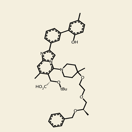 Cc1ccc(O)c(-c2cccc(-c3cn4c(N5CCC(C)(OCCOC[C@@H](C)OCc6ccccc6)CC5)c([C@H](OC(C)(C)C)C(=O)O)c(C)cc4n3)c2)c1